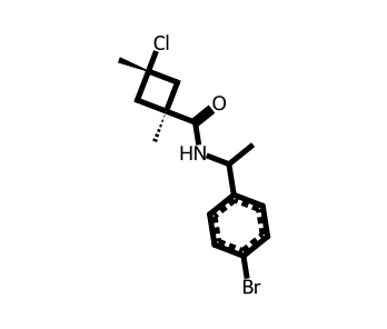 CC(NC(=O)[C@]1(C)C[C@@](C)(Cl)C1)c1ccc(Br)cc1